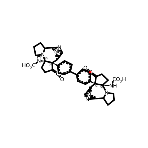 O=C=C1CC[C@]2(NC(=O)O)N3CCCC3c3ncc([nH]3)[C@]12c1ccc(-c2ccc([C@@]34C(=C=O)CC[C@]3(NC(=O)O)N3CCCC3c3ncc4[nH]3)cc2)cc1